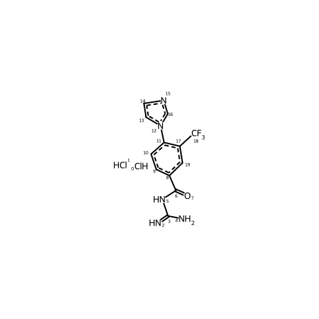 Cl.Cl.N=C(N)NC(=O)c1ccc(-n2ccnc2)c(C(F)(F)F)c1